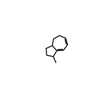 CC1CCC2CCC=CC=C12